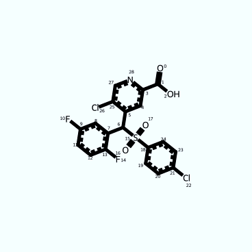 O=C(O)c1cc(C(c2cc(F)ccc2F)S(=O)(=O)c2ccc(Cl)cc2)c(Cl)cn1